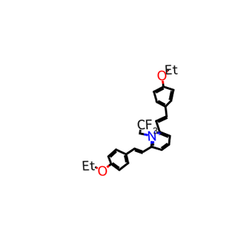 CCOc1ccc(/C=C/c2cccc(/C=C/c3ccc(OCC)cc3)[n+]2CC(F)(F)F)cc1